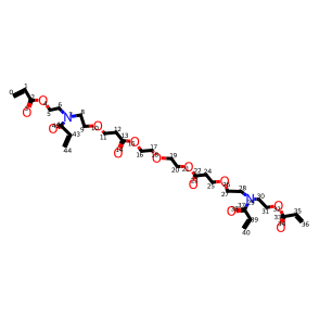 C=CC(=O)OCCN(CCOCCC(=O)OCCOCCOC(=O)CCOCCN(CCOC(=O)C=C)C(=O)C=C)C(=O)C=C